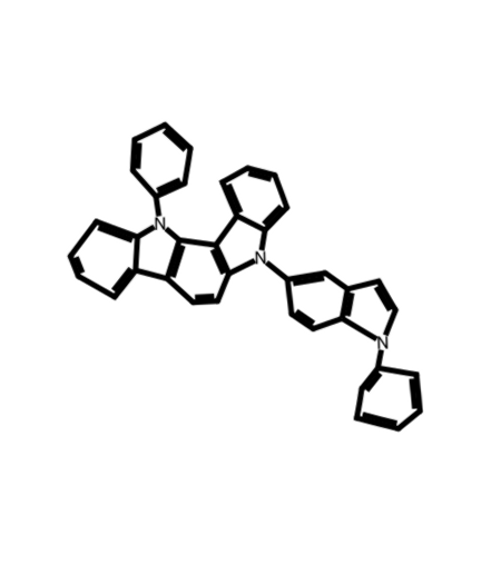 c1ccc(-n2ccc3cc(-n4c5ccccc5c5c4ccc4c6ccccc6n(-c6ccccc6)c45)ccc32)cc1